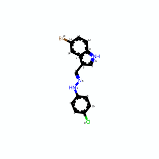 Clc1ccc(N/N=C/c2c[nH]c3ccc(Br)cc23)cc1